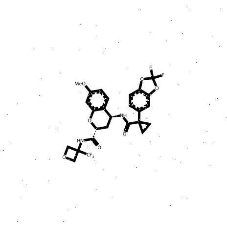 COc1ccc2c(c1)O[C@@H](C(=O)NC1(C(F)(F)F)COC1)C[C@@H]2NC(=O)C1(c2ccc3c(c2)OC(F)(F)O3)CC1